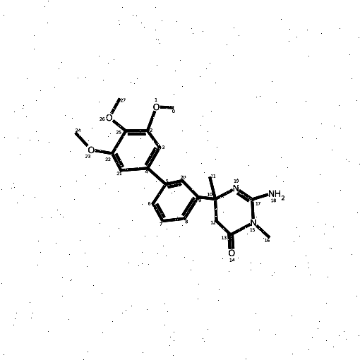 COc1cc(-c2cccc(C3(C)CC(=O)N(C)C(N)=N3)c2)cc(OC)c1OC